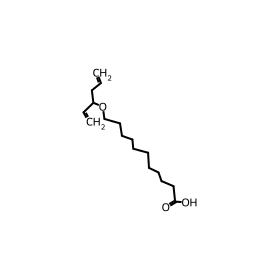 C=CCC(C=C)OCCCCCCCCCCC(=O)O